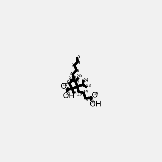 CCCCCCCC(C)(C(=O)O)C(CCCC(=O)O)(C(C)C)C(C)C